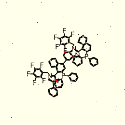 Fc1c(F)c(F)c(Cn2cc(-c3ccccc3)nc2-c2c(P(c3ccccc3)c3ccccc3)cc(-c3ccc4c(c3)nc(-c3c(P(c5ccccc5)c5ccccc5)ccc5ccccc35)n4Cc3c(F)c(F)c(F)c(F)c3F)c3ccccc23)c(F)c1F